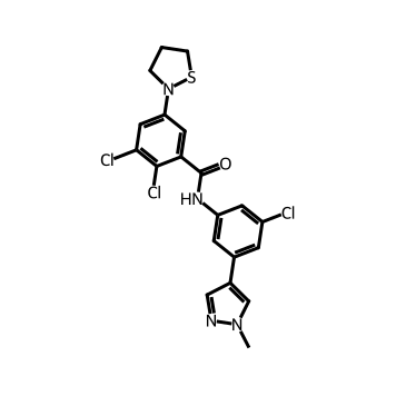 Cn1cc(-c2cc(Cl)cc(NC(=O)c3cc(N4CCCS4)cc(Cl)c3Cl)c2)cn1